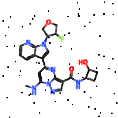 CNc1cc(-c2cn([C@H]3COC[C@H]3F)c3ncccc23)nc2c(C(=O)NC3CCC3O)cnn12